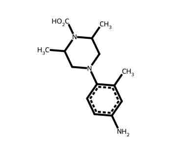 Cc1cc(N)ccc1N1CC(C)N(C(=O)O)C(C)C1